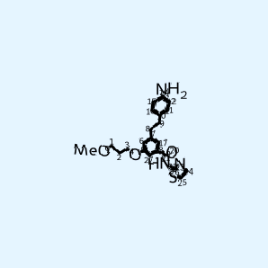 COCCCOc1cc(CCc2ccc(N)cc2)cc(C(=O)Nc2nccs2)c1